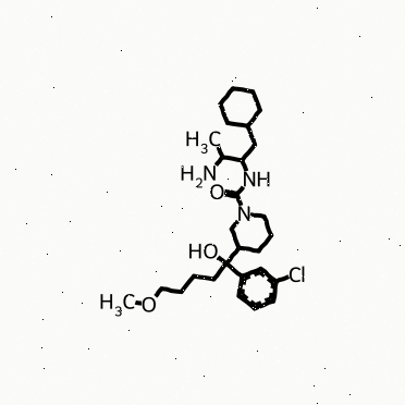 COCCCCC(O)(c1cccc(Cl)c1)C1CCCN(C(=O)NC(CC2CCCCC2)C(C)N)C1